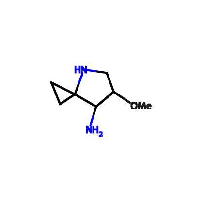 COC1CNC2(CC2)C1N